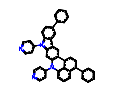 c1ccc(-c2ccc3c(c2)c2cc4c(cc2n3-c2ccncc2)N(c2ccncc2)c2cccc3c(-c5ccccc5)ccc-4c23)cc1